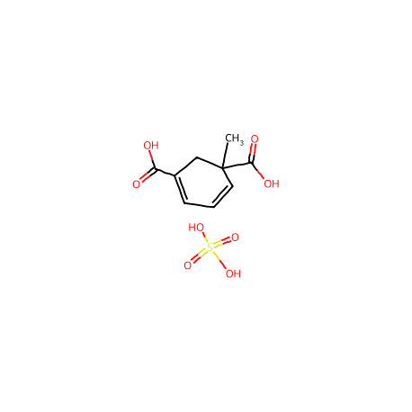 CC1(C(=O)O)C=CC=C(C(=O)O)C1.O=S(=O)(O)O